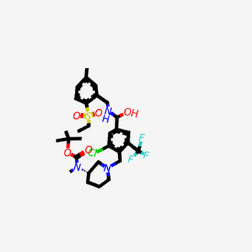 CCS(=O)(=O)c1ccc(C)cc1CNC(O)c1cc(Cl)c(CN2CCC[C@H](N(C)C(=O)OC(C)(C)C)C2)c(C(F)(F)F)c1